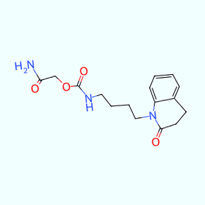 NC(=O)COC(=O)NCCCCN1C(=O)CCc2ccccc21